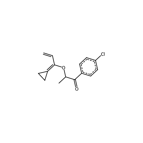 C=CC(OC(C)C(=O)c1ccc(Cl)cc1)=C1CC1